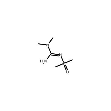 CN(C)C(N)=NP(C)(C)=O